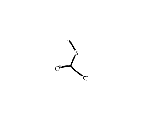 [CH2]SC(Cl)Cl